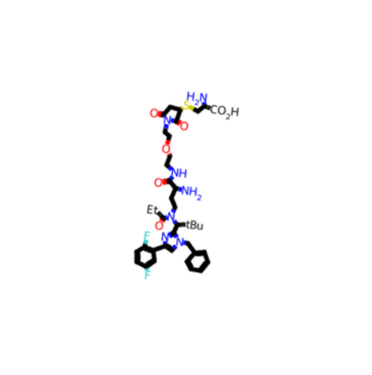 CCC(=O)N(CCC(N)C(=O)NCCOCCN1C(=O)CC(SCC(N)C(=O)O)C1=O)C(c1nc(-c2cc(F)ccc2F)cn1Cc1ccccc1)C(C)(C)C